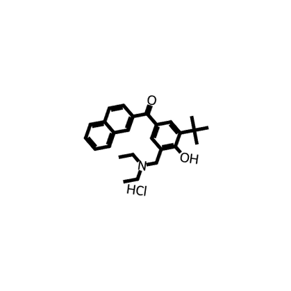 CCN(CC)Cc1cc(C(=O)c2ccc3ccccc3c2)cc(C(C)(C)C)c1O.Cl